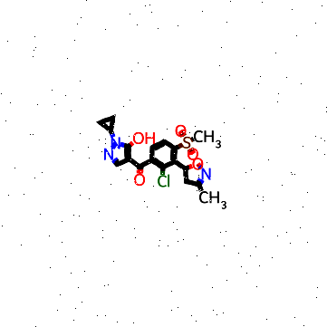 CC1=NOC(c2c(S(C)(=O)=O)ccc(C(=O)c3cnn(C4CC4)c3O)c2Cl)C1